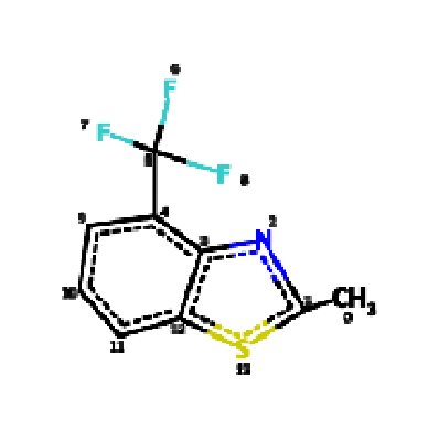 Cc1nc2c(C(F)(F)F)cccc2s1